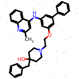 Cc1cc(Nc2cc(OCCN3CCC(O)(Cc4ccccc4)CC3)cc(-c3ccccc3)c2)c2ccccc2n1